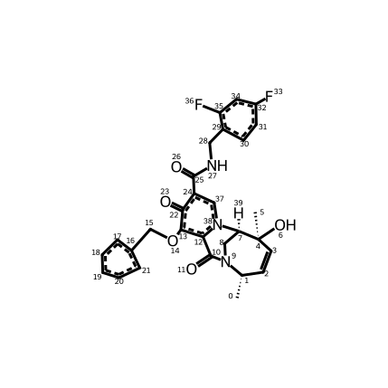 C[C@H]1C=C[C@](C)(O)[C@H]2CN1C(=O)c1c(OCc3ccccc3)c(=O)c(C(=O)NCc3ccc(F)cc3F)cn12